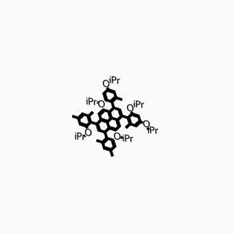 Cc1cc(C)c(C2=CC(c3c(C)cc(C)cc3OC(C)C)c3ccc4c5c(ccc2c35)C(c2c(C)cc(OC(C)C)cc2OC(C)C)C=C4c2c(C)cc(OC(C)C)cc2OC(C)C)c(OC(C)C)c1